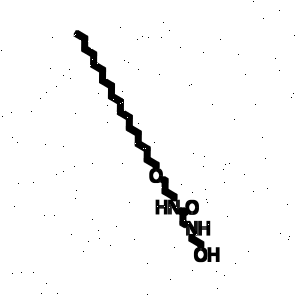 CCCCCCCCCCCCCCCCCCOCCCNC(=O)CNCCO